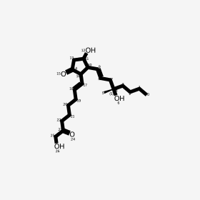 CCCC[C@](C)(O)CC=CC1C(O)CC(=O)C1C=CCCCCC(=O)CO